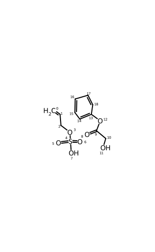 C=CCOS(=O)(=O)O.O=C(CO)Oc1ccccc1